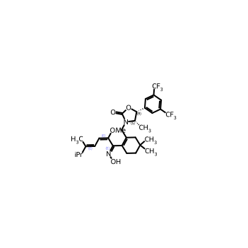 COC(=C/C=C(\C)C(C)C)/C(=N/O)C1=C(CN2C(=O)O[C@H](c3cc(C(F)(F)F)cc(C(F)(F)F)c3)[C@@H]2C)CC(C)(C)CC1